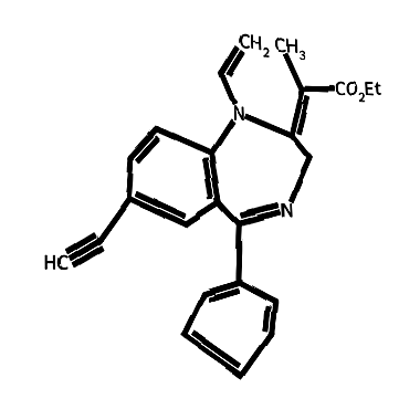 C#Cc1ccc2c(c1)C(c1ccccc1)=NC/C(=C(/C)C(=O)OCC)N2C=C